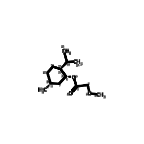 COCC(=O)O[C@@H]1C[C@H](C)CC[C@H]1C(C)C